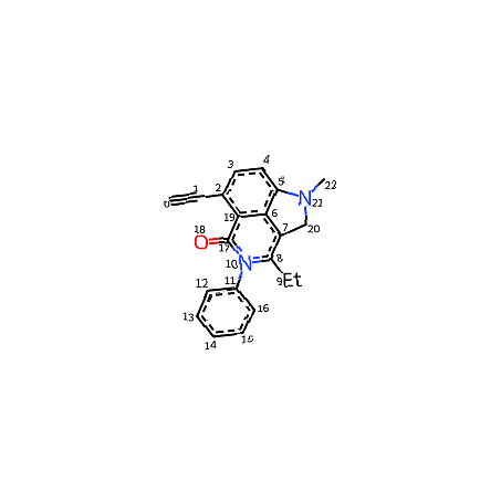 C#Cc1ccc2c3c(c(CC)n(-c4ccccc4)c(=O)c13)CN2C